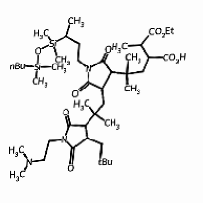 CCCC[Si](C)(C)O[Si](C)(C)C(C)CCN1C(=O)C(CC(C)(C)C2C(=O)N(CCN(C)C)C(=O)C2CC(C)(C)C)C(C(C)(C)CC(C(=O)O)C(C)C(=O)OCC)C1=O